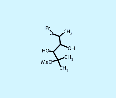 COC(C)(C)C(O)C(O)C(C)OC(C)C